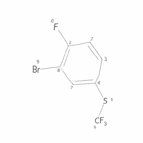 Fc1ccc(SC(F)(F)F)cc1Br